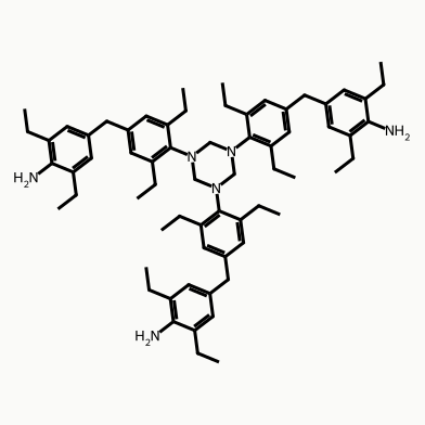 CCc1cc(Cc2cc(CC)c(N3CN(c4c(CC)cc(Cc5cc(CC)c(N)c(CC)c5)cc4CC)CN(c4c(CC)cc(Cc5cc(CC)c(N)c(CC)c5)cc4CC)C3)c(CC)c2)cc(CC)c1N